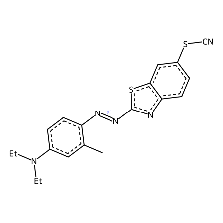 CCN(CC)c1ccc(/N=N/c2nc3ccc(SC#N)cc3s2)c(C)c1